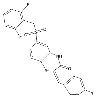 O=C1Nc2cc(S(=O)(=O)Cc3c(F)cccc3F)ccc2S/C1=C/c1ccc(F)cc1